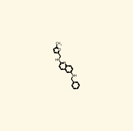 Cc1ccc(CNc2ccc3cc(NCc4ccccc4)ccc3n2)o1